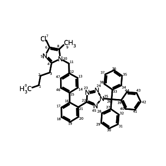 CCCCc1nc(Cl)c(C)n1Cc1ccc(-c2ccccc2-c2nnn(C(c3ccccc3)(c3ccccc3)c3ccccc3)n2)cc1